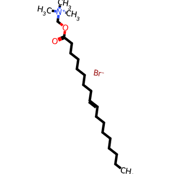 CCCCCCCCC=CCCCCCCCC(=O)OC[N+](C)(C)C.[Br-]